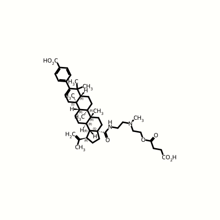 C=C(C)[C@@H]1CC[C@]2(C(=O)NCCN(C)CCOC(=O)CCC(=O)O)CC[C@]3(C)[C@H](CC[C@@H]4[C@@]5(C)CC=C(c6ccc(C(=O)O)cc6)C(C)(C)[C@@H]5CC[C@]43C)[C@@H]12